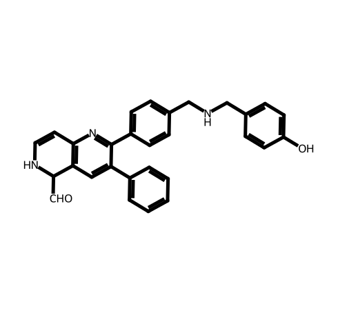 O=CC1NC=Cc2nc(-c3ccc(CNCc4ccc(O)cc4)cc3)c(-c3ccccc3)cc21